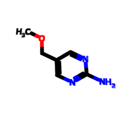 COCc1cnc(N)nc1